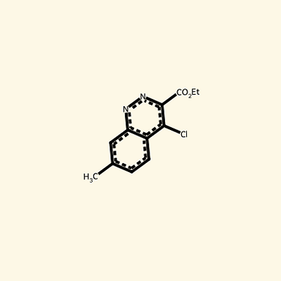 CCOC(=O)c1nnc2cc(C)ccc2c1Cl